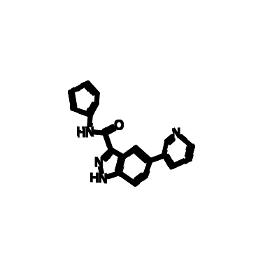 O=C(Nc1ccccc1)c1n[nH]c2ccc(-c3cccnc3)cc12